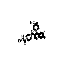 CCNC(=O)N1CCN(C(=O)c2cnc3cc(F)c(F)cc3c2N2CCC(C)(C#N)CC2)CC1